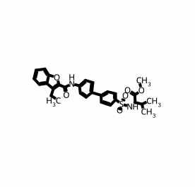 CCc1c(C(=O)Nc2ccc(-c3ccc(S(=O)(=O)NC(C(=O)OC)C(C)C)cc3)cc2)oc2ccccc12